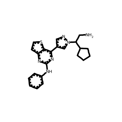 NCC(C1CCCC1)n1cc(-c2nc(Nc3ccccc3)nc3ccsc23)cn1